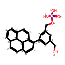 O=P(O)(O)OCc1cc(CO)cc(-c2ccc3c4c2C=CC2=CC=CC(C=C3)C24)c1